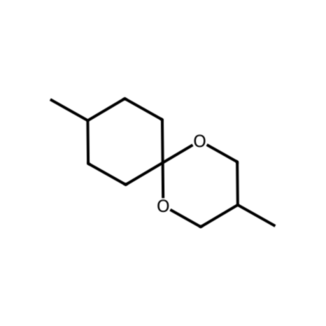 CC1CCC2(CC1)OCC(C)CO2